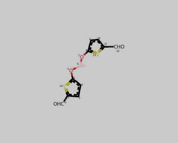 O=Cc1ccc(OBOc2ccc(C=O)s2)s1